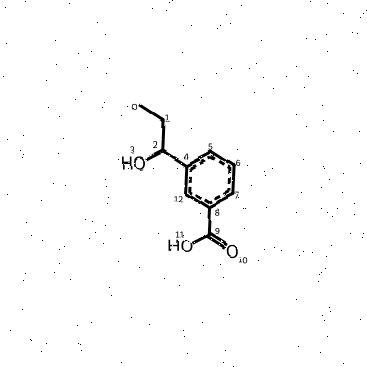 CCC(O)c1cccc(C(=O)O)c1